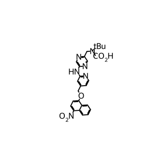 CC(C)(C)N(Cc1cnc(Nc2cc(COc3ccc([N+](=O)[O-])c4ccccc34)ccn2)cn1)C(=O)O